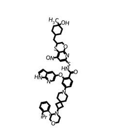 CC(C)c1ccccc1[C@@H]1COCCN1C1CC2(CCN(c3ccc(C(=O)NSc4cc(N=O)c5c(n4)OCC(CC4CCC(C)(O)CC4)S5)c(Oc4cnc5[nH]ccc5c4)c3)CC2)C1